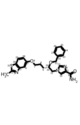 Cc1nc2cc(OCCC[C@@H](Cn3cnc(C(N)=O)c3)OCc3ccccc3)ccc2s1